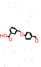 O=Cc1ccc(OCc2cccc(C(=O)O)c2)cc1